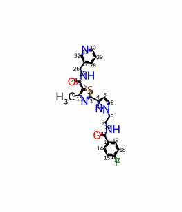 Cc1nc(-c2ccn(CCNC(=O)c3ccc(F)cc3)n2)sc1C(=O)NCc1cccnc1